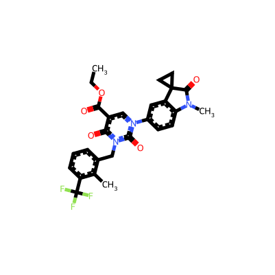 CCOC(=O)c1cn(-c2ccc3c(c2)C2(CC2)C(=O)N3C)c(=O)n(Cc2cccc(C(F)(F)F)c2C)c1=O